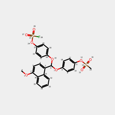 COc1ccc(C(Oc2ccc(OS(C)(=O)=O)cc2)Oc2ccc(OS(=O)(=O)F)cc2)c2ccccc12